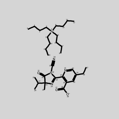 CCCC[N+](CCCC)(CCCC)CCCC.CCc1cnc(C2=NC(C)(C(C)C)C(=O)N2C#N)c(C(=O)[O-])c1